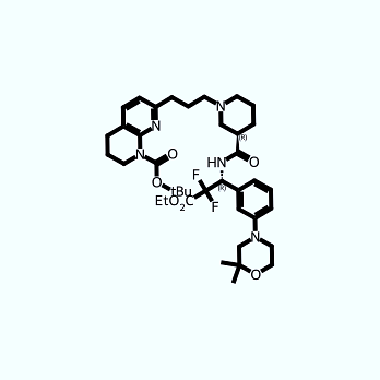 CCOC(=O)C(F)(F)[C@H](NC(=O)[C@@H]1CCCN(CCCc2ccc3c(n2)N(C(=O)OC(C)(C)C)CCC3)C1)c1cccc(N2CCOC(C)(C)C2)c1